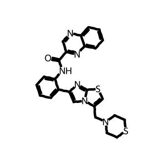 O=C(Nc1ccccc1-c1cn2c(CN3CCSCC3)csc2n1)c1cnc2ccccc2n1